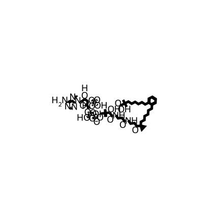 CC(C)(CCCCCCc1ccccc1CCCCCCC1(C(=O)CCNC(=O)CCNC(=O)C(O)C(C)(C)COP(=O)(O)OP(=O)(O)OCC2OC(n3cnc4c(N)ncnc43)C(O)C2OP(=O)(O)O)CC1)C(=O)O